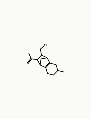 C=C(C)C1C2CC(C3=C2CCC(C)C3)C1CCl